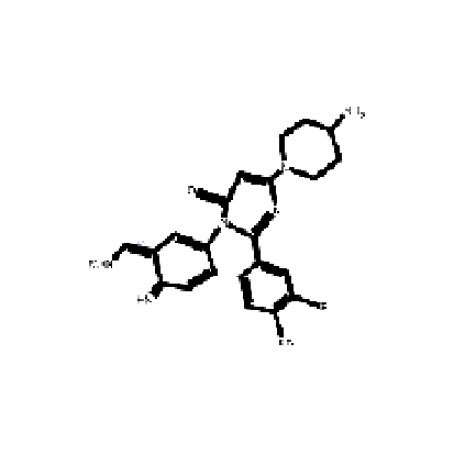 CN/C=C1/C=C(n2c(-c3ccc(C#N)c(F)c3)nc(N3CCC(N)CC3)cc2=O)C=CC1=N